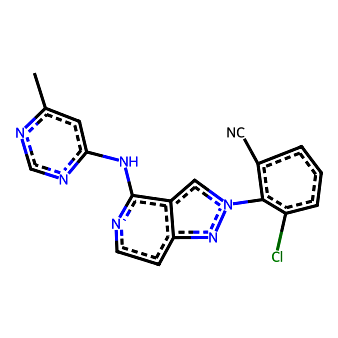 Cc1cc(Nc2nccc3nn(-c4c(Cl)cccc4C#N)cc23)ncn1